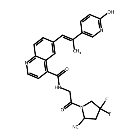 CC(=Cc1ccc2nccc(C(=O)NCC(=O)N3CC(F)(F)CC3C#N)c2c1)c1ccc(O)nc1